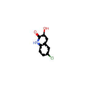 O=c1[nH]c2ccc(Cl)cc2cc1O